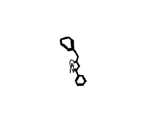 c1ccc(CC2CC(c3ccccc3)=NO2)cc1